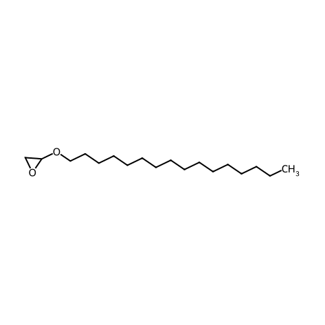 CCCCCCCCCCCCCCCCOC1CO1